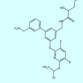 CCC(Oc1nc(Oc2cc(CNC(=O)C(O)CC(C)C)cc(-c3cccc(CN)c3)c2)c(F)cc1F)C(=O)O